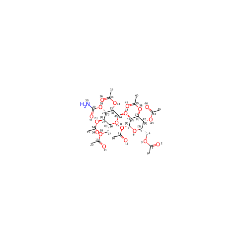 CC(=O)OC[C@@H]1O[C@H](OC(C)=O)[C@@H](O[C@H]2O[C@H](COC(C)=O)[C@@H](OC(C)=O)[C@H](OC(N)=O)[C@@H]2OC(C)=O)[C@@H](OC(C)=O)[C@@H]1OC(C)=O